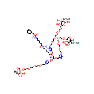 CC(=O)N[C@@H]1[C@@H](O)[C@@H](O)[C@@](C)(COCCOCCOCCOCCn2cc(COCC(COCc3cn(CCOCCOCCOCCOC[C@@]45CO[C@@H](O4)[C@H](NC(C)=O)[C@@H](O)[C@H]5O)nn3)(COCc3cn(CCOCCOCCOCCOC[C@]45CO[C@H](C[C@@H](O)[C@H]4O)O5)nn3)NC(=O)CCCCCNC(=O)CCCCCNC(=O)OCc3ccccc3)nn2)O[C@@H]1O